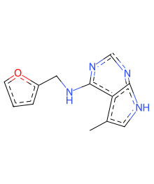 Cc1c[nH]c2ncnc(NCc3ccco3)c12